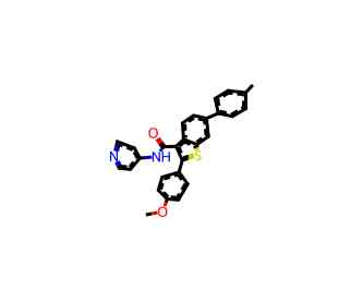 COc1ccc(-c2sc3cc(-c4ccc(C)cc4)ccc3c2C(=O)Nc2ccncc2)cc1